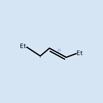 CC[CH]/C=C/CC